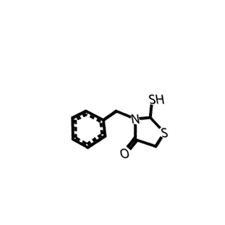 O=C1CSC(S)N1Cc1ccccc1